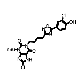 CCCCn1c(=O)n(CCCCc2noc(-c3ccc(O)c(Cl)c3)n2)c(=O)c2[nH]c(Cl)nc21